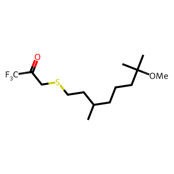 COC(C)(C)CCCC(C)CCSCC(=O)C(F)(F)F